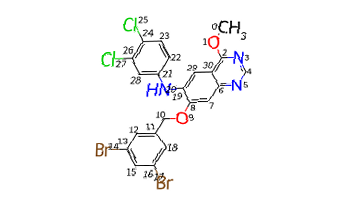 COc1ncnc2cc(OCc3cc(Br)cc(Br)c3)c(Nc3ccc(Cl)c(Cl)c3)cc12